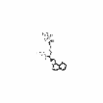 NS(=O)(=O)NCCCCC(NC(=O)O)c1nc2c(ccc3ccccc32)o1